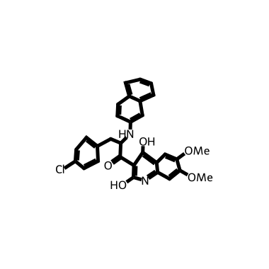 COc1cc2nc(O)c(C(=O)C(Cc3ccc(Cl)cc3)Nc3ccc4ccccc4c3)c(O)c2cc1OC